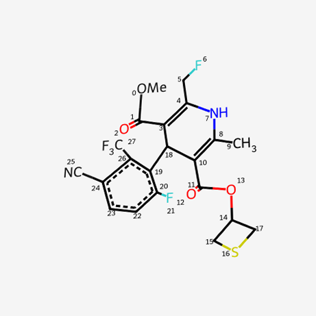 COC(=O)C1=C(CF)NC(C)=C(C(=O)OC2CSC2)C1c1c(F)ccc(C#N)c1C(F)(F)F